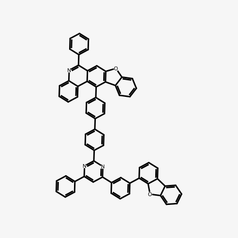 c1ccc(-c2cc(-c3cccc(-c4cccc5c4oc4ccccc45)c3)nc(-c3ccc(-c4ccc(-c5c6c(cc7c(-c8ccccc8)nc8ccccc8c57)oc5ccccc56)cc4)cc3)n2)cc1